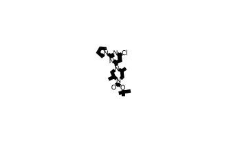 CC1CN(c2cc(Cl)nc(N3CCCC3)n2)C(C)CN1C(=O)OC(C)(C)C